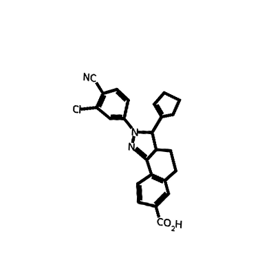 N#Cc1ccc(N2N=C3c4ccc(C(=O)O)cc4CCC3C2C2=CCCC2)cc1Cl